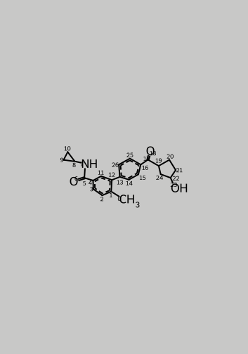 Cc1ccc(C(=O)NC2CC2)cc1-c1ccc(C(=O)C2CCC(O)C2)cc1